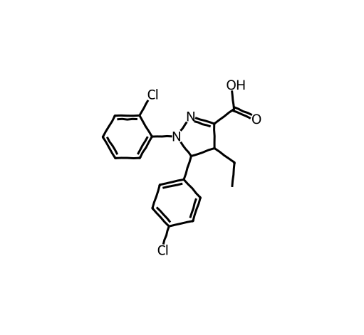 CCC1C(C(=O)O)=NN(c2ccccc2Cl)C1c1ccc(Cl)cc1